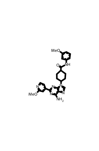 COc1cccc(NC(=O)C2CCC(n3cnc4c(N)nc(-c5ccnc(OC)c5)nc43)CC2)c1